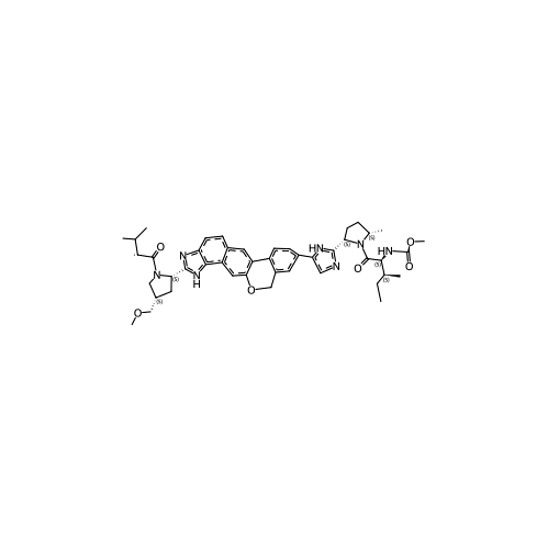 CC[C@H](C)[C@H](NC(=O)OC)C(=O)N1[C@@H](C)CC[C@H]1c1ncc(-c2ccc3c(c2)COc2cc4c(ccc5nc([C@@H]6C[C@H](COC)CN6C(=O)[CH]C(C)C)[nH]c54)cc2-3)[nH]1